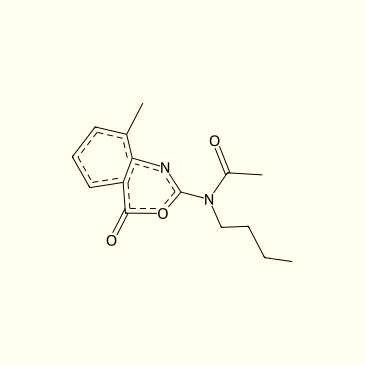 CCCCN(C(C)=O)c1nc2c(C)cccc2c(=O)o1